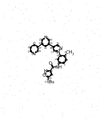 Cc1ccc(NC(=O)c2cc(C(C)(C)C)on2)cc1-n1cc(-c2cncc(-c3cccnc3)c2)cn1